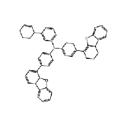 C1=CC2c3ccccc3OC2C(c2ccc(N(C3=CC=C(C4=C5Oc6ccccc6C5CCC4)CC3)c3cccc(C4C=CCCC4)c3)cc2)=C1